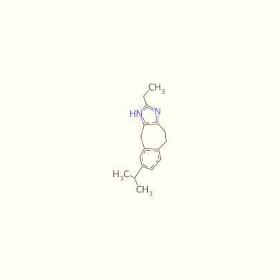 CCc1nc2c([nH]1)Cc1cc(C(C)C)ccc1CC2